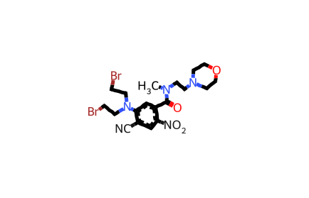 CN(CCN1CCOCC1)C(=O)c1cc(N(CCBr)CCBr)c(C#N)cc1[N+](=O)[O-]